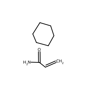 C1CCCCC1.C=CC(N)=O